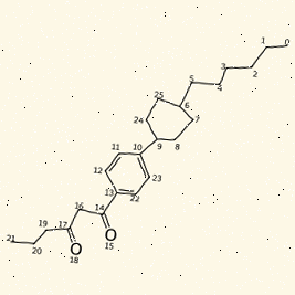 CCCCCCC1CCC(c2ccc(C(=O)CC(=O)CCC)cc2)CC1